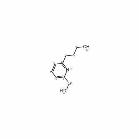 COc1cccc(CCCO)n1